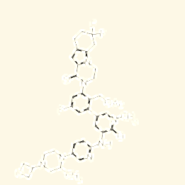 CC(=O)OCc1c(-c2cc(Nc3ccc(N4CCN(C5COC5)CC4C)cn3)c(=O)n(C)c2)cc(F)cc1N1CCn2c(cc3c2CC(F)(F)CC3)C1=O